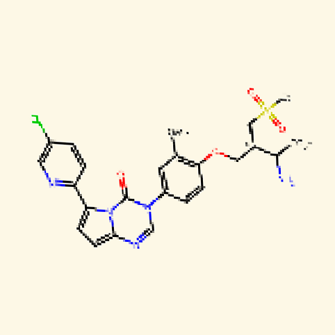 CCS(=O)(=O)C[C@H](COc1ccc(-n2cnc3ccc(-c4ccc(Cl)cn4)n3c2=O)cc1OC)C(N)C(=O)O